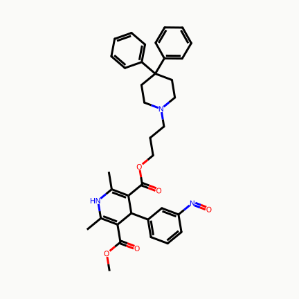 COC(=O)C1=C(C)NC(C)=C(C(=O)OCCCN2CCC(c3ccccc3)(c3ccccc3)CC2)C1c1cccc(N=O)c1